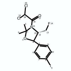 CC1(C)OC(c2ccc(I)cc2)[C@@H](CF)N1C(=O)C(Cl)Cl